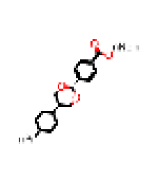 CCCCCCCCCOC(=O)c1ccc([C@H]2OC[C@H](C3CCC(CCC)CC3)CO2)cc1